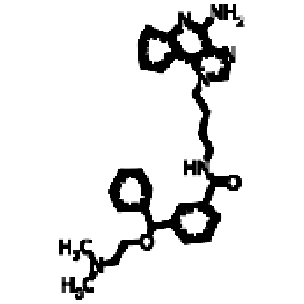 CN(C)CCOC(c1ccccc1)c1cccc(C(=O)NCCCCn2cnc3c(N)nc4ccccc4c32)c1